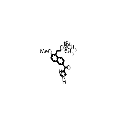 COc1ccc2cc(C(=O)c3c[nH]cn3)ccc2c1CCO[Si](C)(C)C(C)(C)C